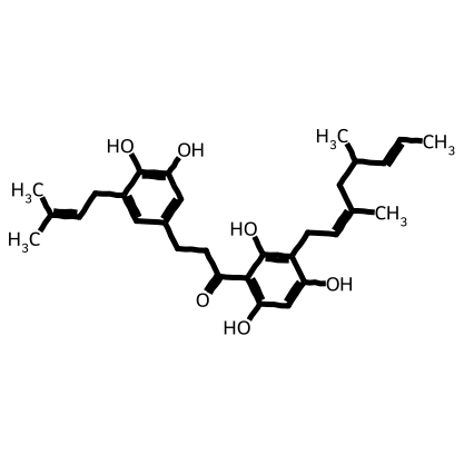 CC=CC(C)CC(C)=CCc1c(O)cc(O)c(C(=O)CCc2cc(O)c(O)c(CC=C(C)C)c2)c1O